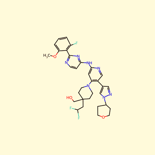 COc1cccc(F)c1-c1nccc(Nc2cc(N3CCC(CO)(CC(F)F)CC3)c(-c3cnn(C4CCOCC4)c3)cn2)n1